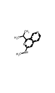 CNc1cc2ccncc2c(C(C)C)n1